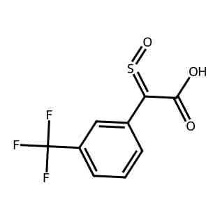 O=S=C(C(=O)O)c1cccc(C(F)(F)F)c1